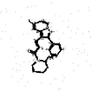 CCC1CCCCN1C(=O)C=Cc1c(-c2ccccc2)nn2ccc(C)cc12